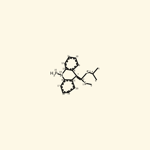 CSC(SC(C)C)=C1c2ccccc2N(P)c2ccccc21